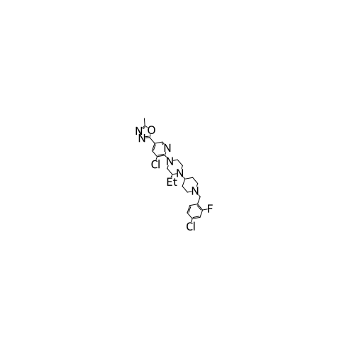 CC[C@H]1CN(c2ncc(-c3nnc(C)o3)cc2Cl)CCN1C1CCN(Cc2ccc(Cl)cc2F)CC1